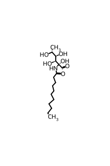 CCCCCCCCCCC(=O)N[C@](O)([C]=O)[C@@H](O)[C@H](O)[C@@H](C)O